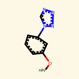 CCCOc1cccc(-n2cnnn2)c1